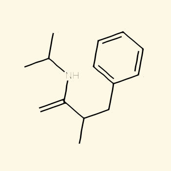 C=C(NC(C)C)C(C)Cc1ccccc1